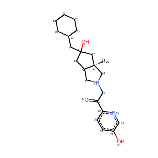 O=C(CN1CC2CC(O)(CC3CCCCC3)C[C@H]2C1)c1ccc(O)cn1